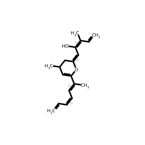 C=C/C=C\C=C(/C)C1=CC(C)C/C(=C\C(O)=C(\C)C=C)O1